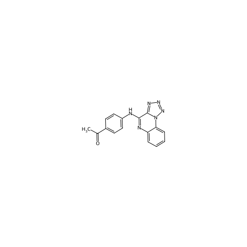 CC(=O)c1ccc(Nc2nc3ccccc3n3nnnc23)cc1